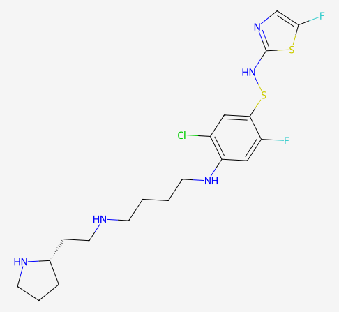 Fc1cnc(NSc2cc(Cl)c(NCCCCNCC[C@@H]3CCCN3)cc2F)s1